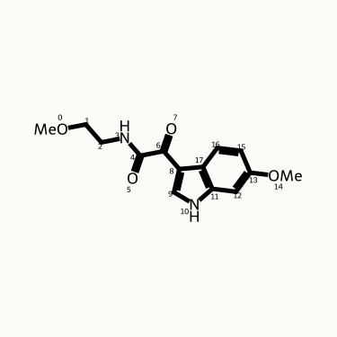 COCCNC(=O)C(=O)c1c[nH]c2cc(OC)ccc12